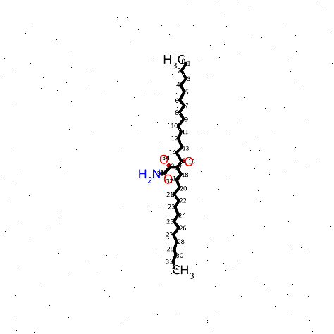 CCCCCCCCCCCCCCCC(=O)C(CCCCCCCCCCCCCCC)C(=O)C(N)=O